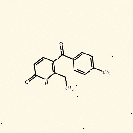 CCc1[nH]c(=O)ccc1C(=O)c1ccc(C)cc1